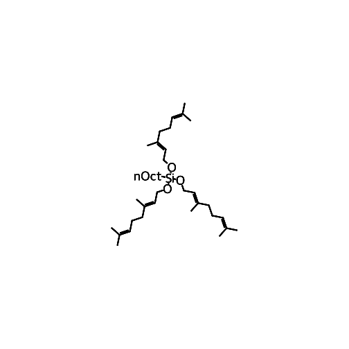 CCCCCCCC[Si](OC/C=C(\C)CCC=C(C)C)(OC/C=C(\C)CCC=C(C)C)OC/C=C(\C)CCC=C(C)C